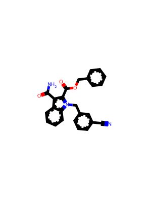 N#Cc1cccc(Cn2c(C(=O)OCc3ccccc3)c(C(N)=O)c3ccccc32)c1